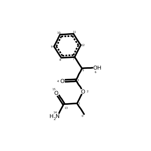 CC(OC(=O)C(O)c1ccccc1)C(N)=O